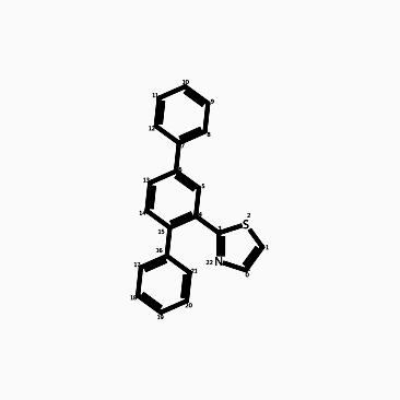 [c]1csc(-c2cc(-c3ccccc3)ccc2-c2ccccc2)n1